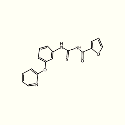 O=C(NC(=S)Nc1cccc(Oc2ccccn2)c1)c1ccco1